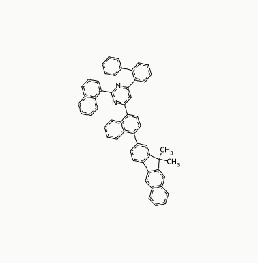 CC1(C)c2cc(-c3ccc(-c4cc(-c5ccccc5-c5ccccc5)nc(-c5cccc6ccccc56)n4)c4ccccc34)ccc2-c2cc3ccccc3cc21